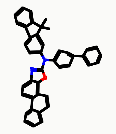 CC1(C)c2ccccc2-c2ccc(N(c3ccc(-c4ccccc4)cc3)c3nc4ccc5c6ccccc6ccc5c4o3)cc21